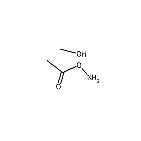 CC(=O)ON.CO